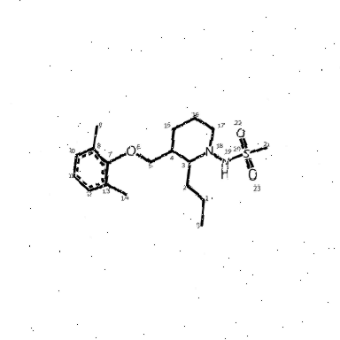 CCCC1C(COc2c(C)cccc2C)CCCN1NS(C)(=O)=O